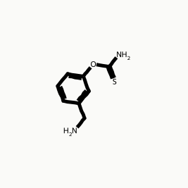 NCc1cccc(OC(N)=S)c1